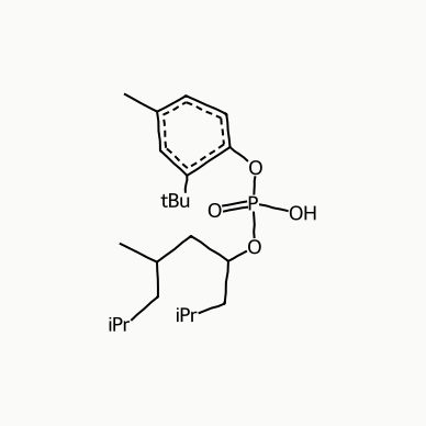 Cc1ccc(OP(=O)(O)OC(CC(C)C)CC(C)CC(C)C)c(C(C)(C)C)c1